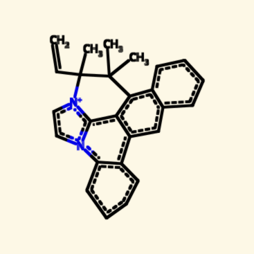 C=CC1(C)[n+]2ccn3c4ccccc4c4cc5ccccc5c(c4c32)C1(C)C